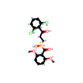 COc1cccc(OC)c1C(=O)[PH](=O)CCC(=O)c1c(Cl)cccc1Cl